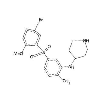 COc1ccc(Br)cc1S(=O)(=O)c1ccc(C)c(NC2CCNCC2)c1